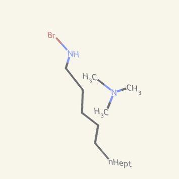 CCCCCCCCCCCCNBr.CN(C)C